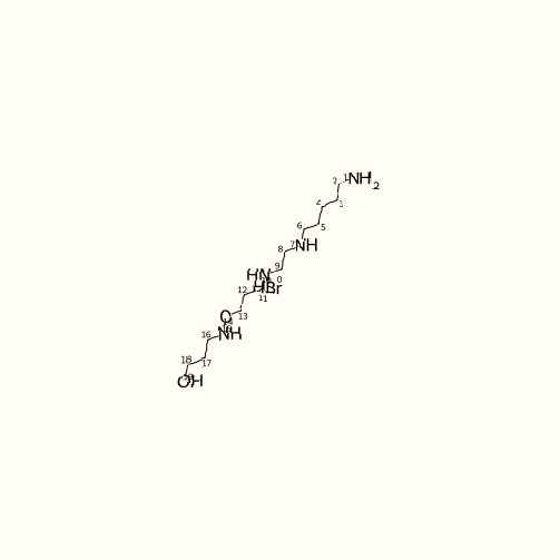 Br.NCCCCCNCCNCCCONCCCO